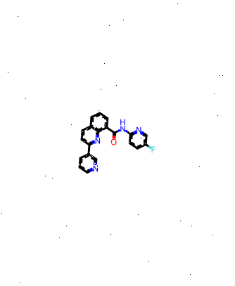 O=C(Nc1ccc(F)cn1)c1cccc2ccc(-c3cccnc3)nc12